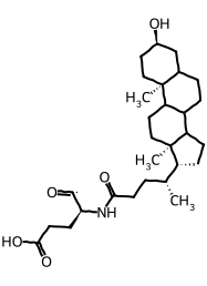 C[C@H](CCC(=O)N[C@H]([C]=O)CCC(=O)O)[C@H]1CCC2C3CCC4C[C@H](O)CC[C@]4(C)C3CC[C@@]21C